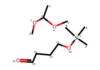 COC(C)OC.C[Si](C)(C)OCCCC=O